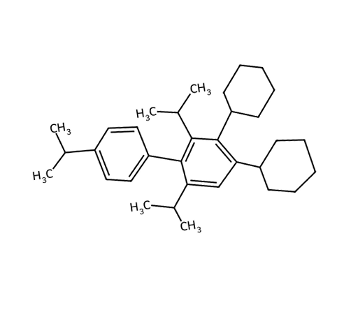 CC(C)c1ccc(-c2c(C(C)C)cc(C3CCCCC3)c(C3CCCCC3)c2C(C)C)cc1